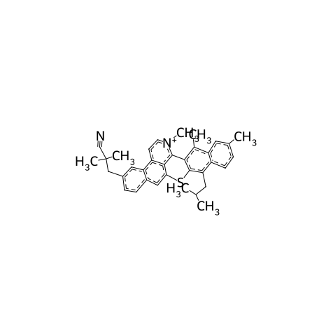 Cc1ccc2c(CC(C)C)c3c(c(C)c2c1)-c1c2c(cc4ccc(CC(C)(C)C#N)cc4c2cc[n+]1C)S3